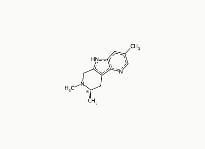 Cc1cnc2c3c([nH]c2c1)CN(C)[C@H](C)C3